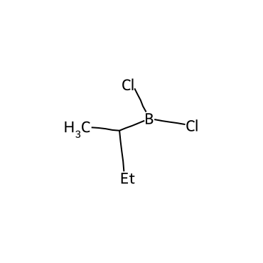 CCC(C)B(Cl)Cl